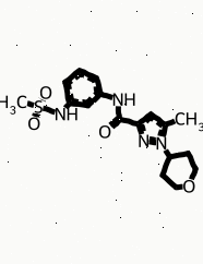 Cc1cc(C(=O)Nc2cccc(NS(C)(=O)=O)c2)nn1C1CCOCC1